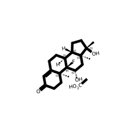 CC(=O)O.C[C@]1(O)CC[C@H]2[C@@H]3CCC4=CC(=O)CC[C@]4(C)[C@@]3(F)[C@@H](O)C[C@@]21C